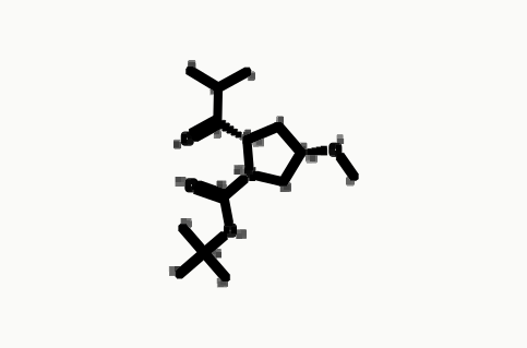 CO[C@H]1C[C@@H](C(=O)C(C)C)N(C(=O)OC(C)(C)C)C1